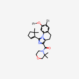 CCc1cc2c(cc1OC(C)C)-n1c(C3=CCCC3(C)C)nc(C(=O)N3CCOCC3(C)C)c1CC2